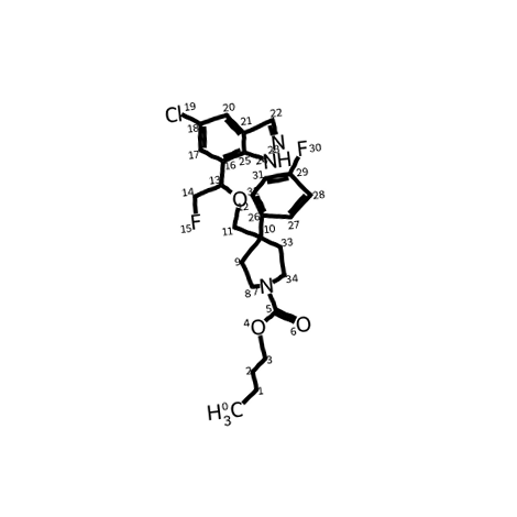 CCCCOC(=O)N1CCC(COC(CF)c2cc(Cl)cc3cn[nH]c23)(c2ccc(F)cc2)CC1